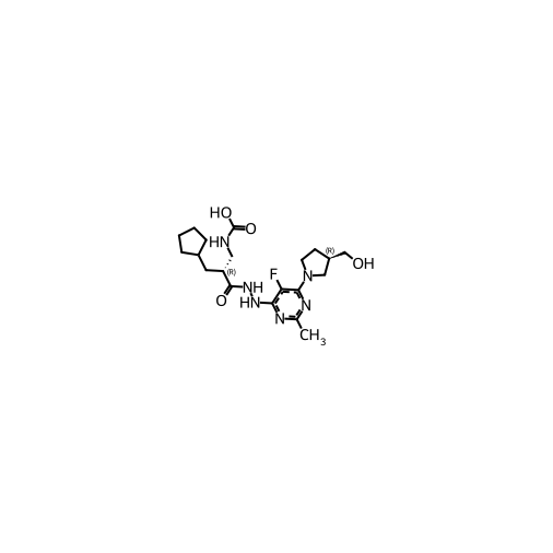 Cc1nc(NNC(=O)[C@@H](CNC(=O)O)CC2CCCC2)c(F)c(N2CC[C@@H](CO)C2)n1